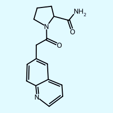 NC(=O)C1CCCN1C(=O)Cc1ccc2ncccc2c1